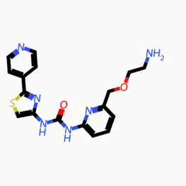 NCCOCc1cccc(NC(=O)Nc2csc(-c3ccncc3)n2)n1